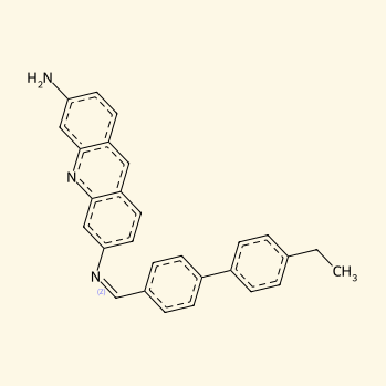 CCc1ccc(-c2ccc(/C=N\c3ccc4cc5ccc(N)cc5nc4c3)cc2)cc1